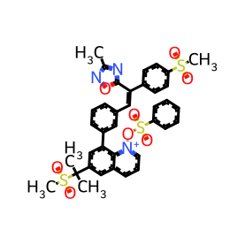 Cc1noc(C(=Cc2cccc(-c3cc(C(C)(C)S(C)(=O)=O)cc4ccc[n+](OS(=O)(=O)c5ccccc5)c34)c2)c2ccc(S(C)(=O)=O)cc2)n1